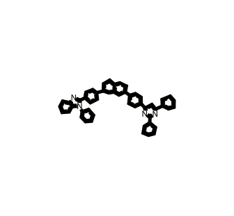 c1ccc(-c2cc(-c3ccc(-c4ccc5ccc(-c6ccc(-c7nc8ccccc8n7-c7ccccc7)cc6)cc5c4)cc3)nc(-c3ccccc3)n2)cc1